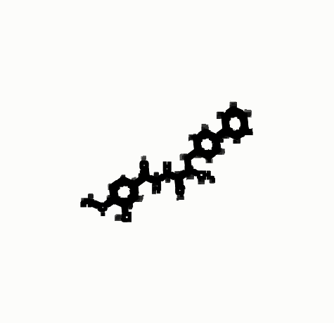 CC(C)Oc1ccc(C(=O)NNC(=O)N(C)Cc2ccc(-c3ccccc3)cc2)cc1Cl